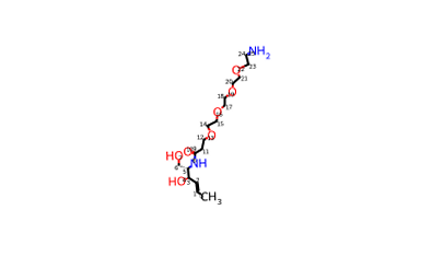 C/C=C/[C@@H](O)[C@H](CO)NC(=O)CCOCCOCCOCCOCCN